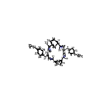 C/C1=N\C[C@H](Cc2ccc(C(C)C)cc2)/N=C(\C)c2cccc(n2)/C(C)=N/C[C@H](Cc2ccc(C(C)C)cc2)/N=C(\C)c2cccc1n2